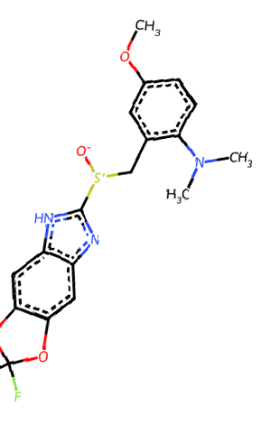 COc1ccc(N(C)C)c(C[S+]([O-])c2nc3cc4c(cc3[nH]2)OC(F)(F)O4)c1